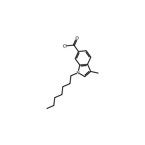 CCCCCCCn1cc(C)c2ccc(C(=O)Cl)cc21